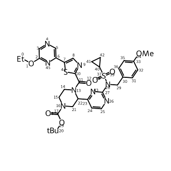 CCOc1cncc(-c2cnc(C(=O)N3CCN(C(=O)OC(C)(C)C)CC3c3ccnc(N(Cc4ccc(OC)cc4)S(=O)(=O)C4CC4)n3)s2)n1